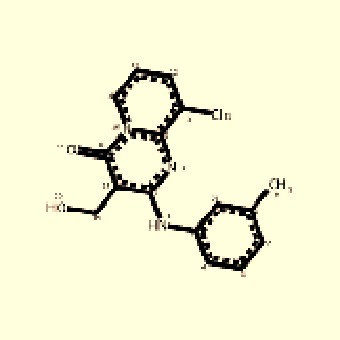 Cc1cccc(Nc2nc3c(Cl)cccn3c(=O)c2CO)c1